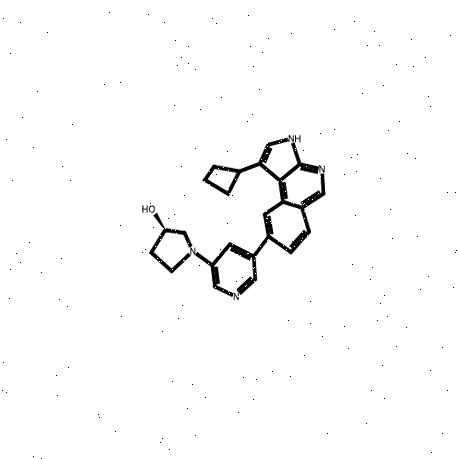 O[C@@H]1CCN(c2cncc(-c3ccc4cnc5[nH]cc(C6CCC6)c5c4c3)c2)C1